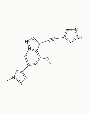 COc1cc(-c2cnn(C)c2)cn2ncc(C#Cc3cn[nH]c3)c12